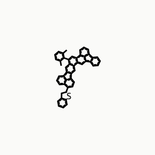 Cc1cccc(C)c1-c1cc2c(cc3c4ccccc4c4cccc2c43)c2cc3c(cc12)c1cccc2c(C4Cc5ccccc5S4)ccc3c21